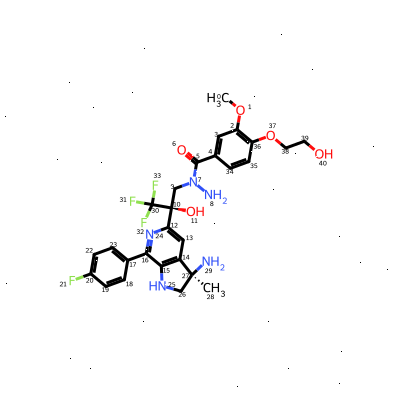 COc1cc(C(=O)N(N)C[C@](O)(c2cc3c(c(-c4ccc(F)cc4)n2)NC[C@]3(C)N)C(F)(F)F)ccc1OCCO